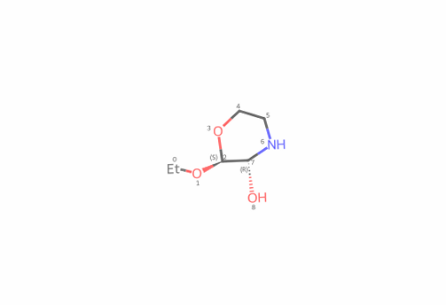 CCO[C@H]1OCCN[C@@H]1O